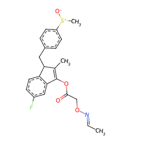 CC=NOCC(=O)OC1=C(C)C(Cc2ccc([S+](C)[O-])cc2)c2ccc(F)cc21